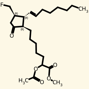 CCCCCCC=C[C@H]1[C@H](CF)CC(=O)[C@@H]1CCCCCC(OC(C)=O)C(=O)OC